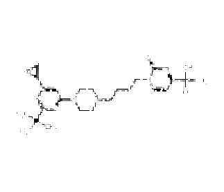 CC(C)(C)c1ccn(CCCCN2CCN(c3cc(C4CC4)nc(C(C)(C)C)n3)CC2)c(=O)n1